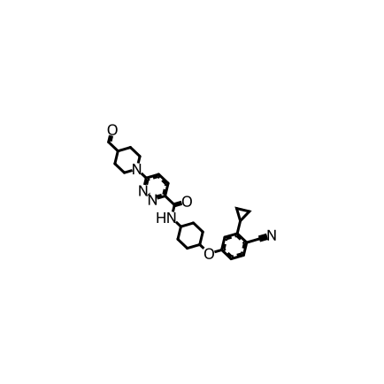 N#Cc1ccc(OC2CCC(NC(=O)c3ccc(N4CCC(C=O)CC4)nn3)CC2)cc1C1CC1